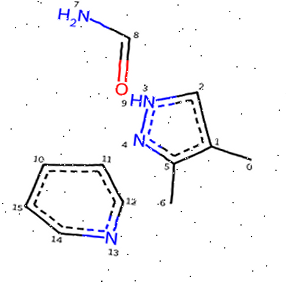 Cc1c[nH]nc1C.NC=O.c1ccncc1